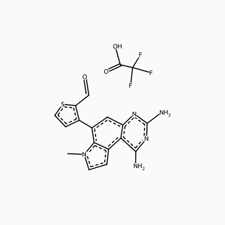 Cn1ccc2c3c(N)nc(N)nc3cc(-c3ccsc3C=O)c21.O=C(O)C(F)(F)F